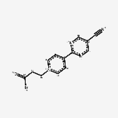 N#Cc1cnc(-c2cc[n+](CCC(=O)Br)cc2)nc1